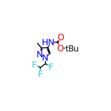 Cc1nn(C(F)C(F)F)cc1NC(=O)OC(C)(C)C